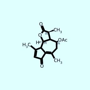 CC(=O)O[C@H]1CC(C)=C2C(=O)C=C(C)C2[C@H]2OC(=O)[C@@H](C)C21